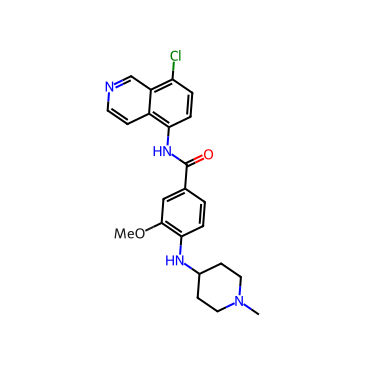 COc1cc(C(=O)Nc2ccc(Cl)c3cnccc23)ccc1NC1CCN(C)CC1